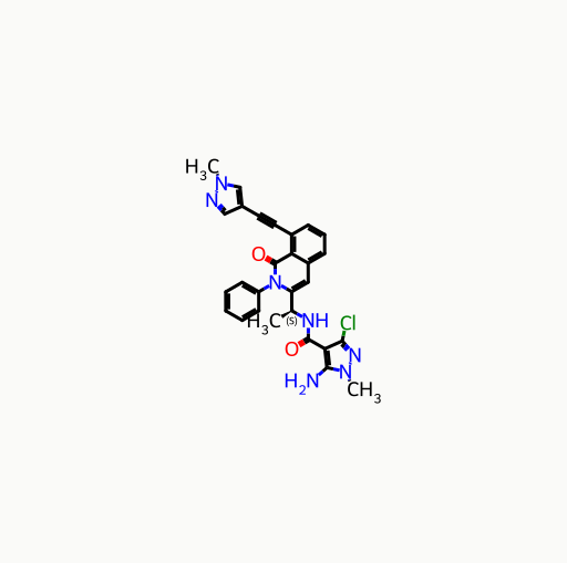 C[C@H](NC(=O)c1c(Cl)nn(C)c1N)c1cc2cccc(C#Cc3cnn(C)c3)c2c(=O)n1-c1ccccc1